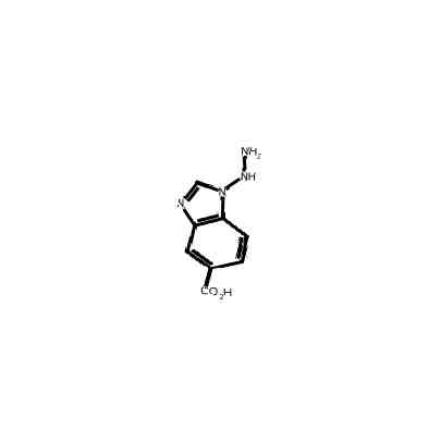 NNn1cnc2cc(C(=O)O)ccc21